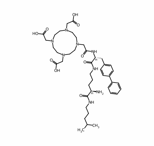 CC(C)CCCNC(=O)[C@H](N)CCCNC(=O)[C@@H](Cc1ccc(-c2ccccc2)cc1)NC(=O)CN1CCN(CC(=O)O)CCN(CC(=O)O)CCN(CC(=O)O)CC1